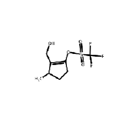 CC1CCC(OS(=O)(=O)C(F)(F)F)=C1CO